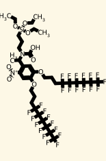 CCO[Si](CCCN(C(=O)O)C(C)c1cc(OCCCC(F)(F)C(F)(F)C(F)(F)C(F)(F)C(F)(F)C(F)(F)F)c(OCCCC(F)(F)C(F)(F)C(F)(F)C(F)(F)C(F)(F)C(F)(F)F)cc1[N+](=O)[O-])(OCC)OCC